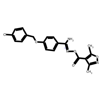 Cc1noc(C)c1C(=O)O/N=C(\N)c1ccc(OCc2ccc(Cl)cc2)cc1